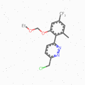 CCOCOc1cc(C(F)(F)F)cc(C)c1-c1ccc(CCl)nn1